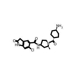 C[C@H]1CC(NC(=O)c2cc3c(cc2Cl)NC(=O)C3)CCN1C(=O)[C@H]1CC[C@H](N)CC1